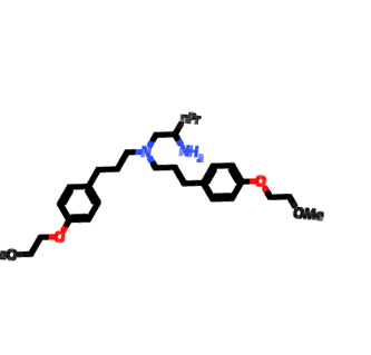 CCCC(N)CN(CCCc1ccc(OCCOC)cc1)CCCc1ccc(OCCOC)cc1